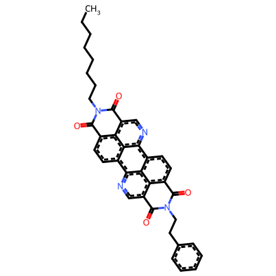 CCCCCCCCN1C(=O)c2ccc3c4ncc5c6c(ccc(c7ncc(c2c37)C1=O)c64)C(=O)N(CCc1ccccc1)C5=O